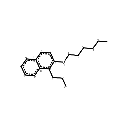 CC[CH]c1c(OCCCCCC)ccc2ccccc12